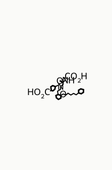 O=C(O)CNC(=O)CN(CCc1ccccc1OCCCCCc1ccccc1)Cc1ccc(C(=O)O)cc1